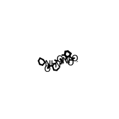 CC[N+]1(CC(=O)Nc2c(C)cccc2C(=O)OC)CCCC(C(=O)NC2CCCCC2)C1